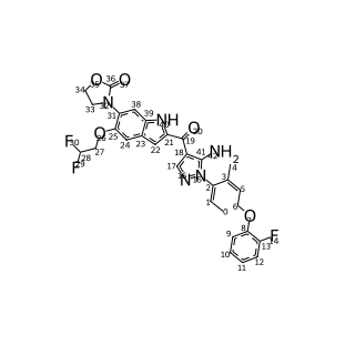 C/C=C(\C(C)=C/COc1ccccc1F)n1ncc(C(=O)c2cc3cc(OCC(F)F)c(N4CCOC4=O)cc3[nH]2)c1N